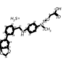 CN(SOCC(=O)O)c1ccc(NCc2cccc(-c3ccc4c(c3)OCO4)c2)cc1.S